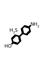 Nc1ccc(-c2ccc(O)cc2)cc1.S